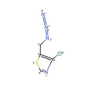 [N-]=[N+]=NCc1scnc1Cl